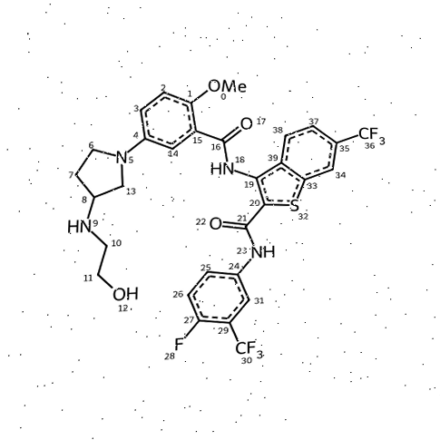 COc1ccc(N2CCC(NCCO)C2)cc1C(=O)Nc1c(C(=O)Nc2ccc(F)c(C(F)(F)F)c2)sc2cc(C(F)(F)F)ccc12